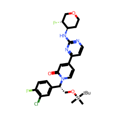 CC(C)(C)[Si](C)(C)OC[C@H](c1ccc(F)c(Cl)c1)n1ccc(-c2ccnc(N[C@@H]3CCOC[C@H]3F)n2)cc1=O